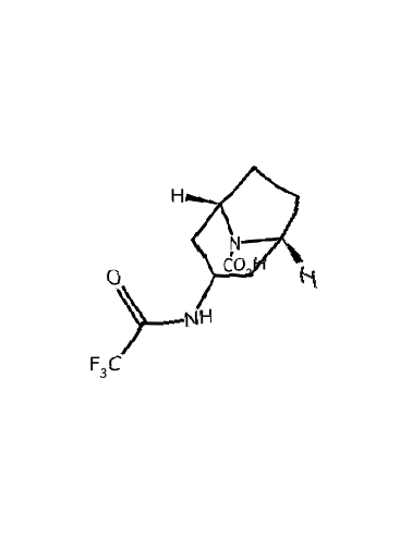 O=C(O)N1[C@@H]2CC[C@H]1CC(NC(=O)C(F)(F)F)C2